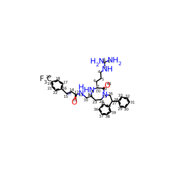 NC(N)NCCC[C@@H]1N[C@H](CNC(=O)/C=C/c2ccc(C(F)(F)F)cc2)CCN(CC(c2ccccc2)c2ccccc2)C1=O